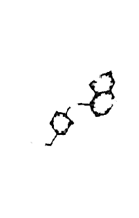 O=C(O)Cc1ccc(Oc2ccnc3ccncc23)cc1